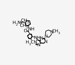 Cc1ccc(C(=O)Nc2cccc(C(C)(C)N)c2)cc1Nc1ncnc2cnc(N3CCCN(C)CC3)nc12